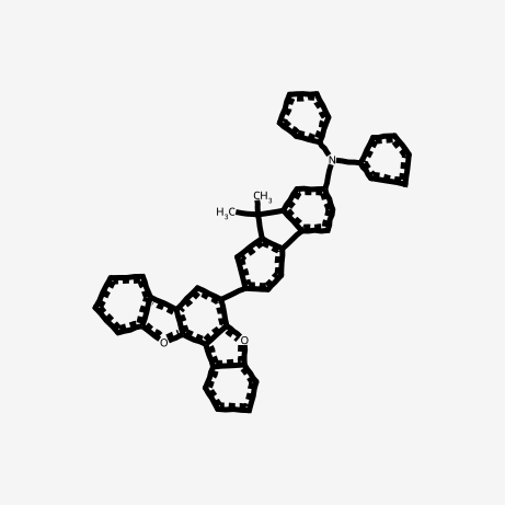 CC1(C)c2cc(-c3cc4c5ccccc5oc4c4c3oc3ccccc34)ccc2-c2ccc(N(c3ccccc3)c3ccccc3)cc21